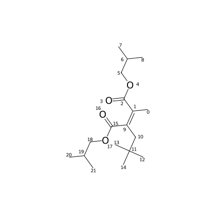 C/C(C(=O)OCC(C)C)=C(\CC(C)(C)C)C(=O)OCC(C)C